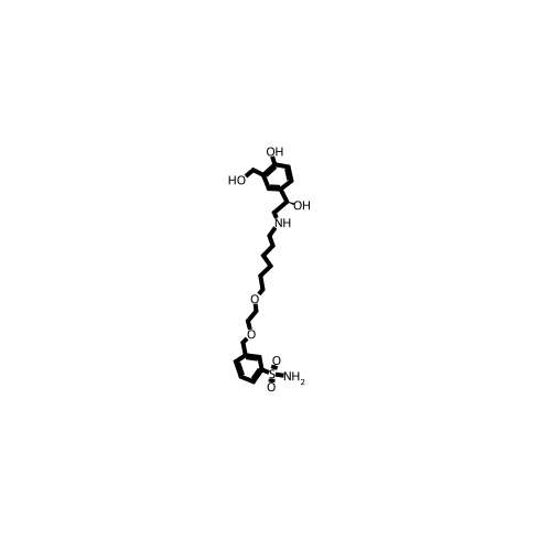 NS(=O)(=O)c1cccc(COCCOCCCCCCNC[C@@H](O)c2ccc(O)c(CO)c2)c1